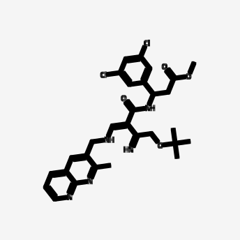 COC(=O)CC(NC(=O)/C(=C/NCc1cc2cccnc2nc1C)C(=N)COC(C)(C)C)c1cc(Cl)cc(Cl)c1